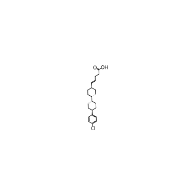 O=C(O)CCC=C[C@H]1CC[C@H]([C@H]2CC[C@H](c3ccc(Cl)cc3)CC2)CC1